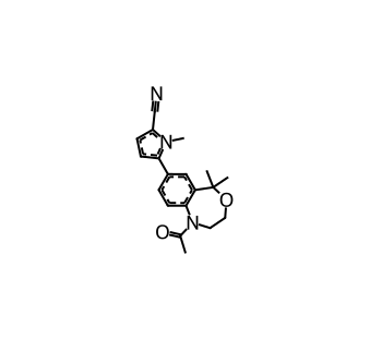 CC(=O)N1CCOC(C)(C)c2cc(-c3ccc(C#N)n3C)ccc21